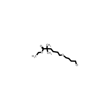 CCOC(=O)C(C)(C)CCCCOCCCCCl